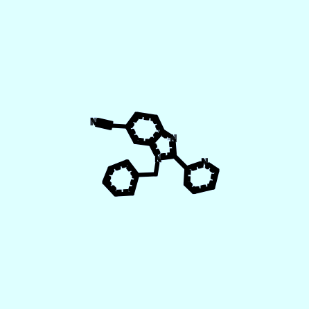 N#Cc1ccc2nc(-c3ccccn3)n(Cc3ccccc3)c2c1